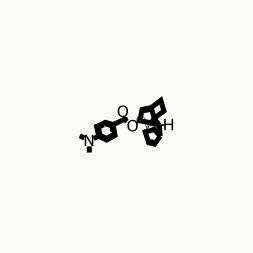 CN(C)c1ccc(C(=O)O[C@@H]2C=C3CCC34[C@H]3C5C=CC(C5)[C@]324)cc1